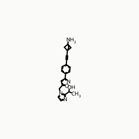 CC(O)c1nccn1Cc1cc(-c2ccc(C#CC34CC(N)(C3)C4)cc2)no1